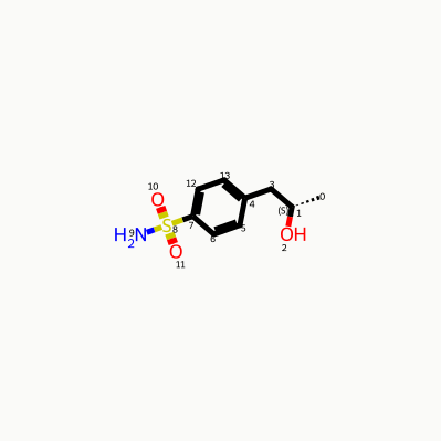 C[C@H](O)Cc1ccc(S(N)(=O)=O)cc1